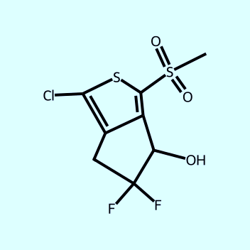 CS(=O)(=O)c1sc(Cl)c2c1C(O)C(F)(F)C2